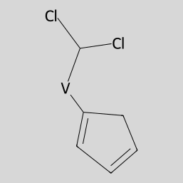 Cl[CH](Cl)[V][C]1=CC=CC1